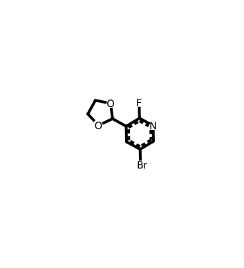 Fc1ncc(Br)cc1C1OCCO1